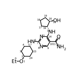 CCO[C@H]1CC[C@H](Nc2ncc(C(N)=O)c(N[C@@H]3CCC[C@H]3O)n2)CC1